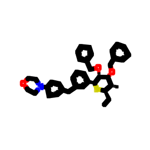 CC[C@H]1S[C@@H](c2cccc(Cc3ccc(N4CCOCC4)cc3)c2)[C@H](OCc2ccccc2)[C@@H](OCc2ccccc2)[C@@H]1C